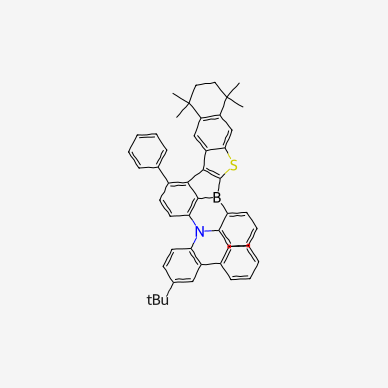 CC(C)(C)c1ccc(N2c3ccccc3B3c4sc5cc6c(cc5c4-c4c(-c5ccccc5)ccc2c43)C(C)(C)CCC6(C)C)c(-c2ccccc2)c1